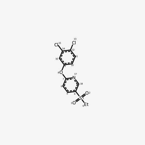 CCS(=O)(=O)c1ccc(Oc2ccc(Cl)c(Cl)c2)nc1